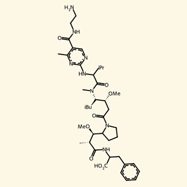 CC[C@H](C)[C@@H]([C@@H](CC(=O)N1CCCC1[C@H](OC)[C@@H](C)C(=O)NC(Cc1ccccc1)C(=O)O)OC)N(C)C(=O)C(Nc1ncc(C(=O)NCCN)c(C)n1)C(C)C